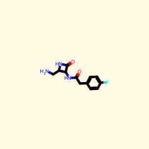 NCC1NC(=O)C1NC(=O)Cc1ccc(F)cc1